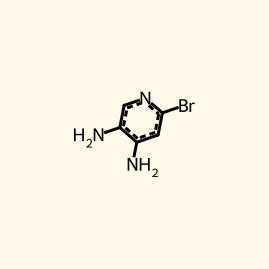 Nc1cnc(Br)cc1N